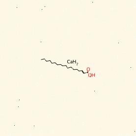 CCCCCCCCCCCCCCCC=CC(=O)O.[CaH2]